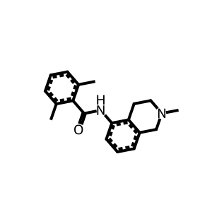 Cc1cccc(C)c1C(=O)Nc1cccc2c1CCN(C)C2